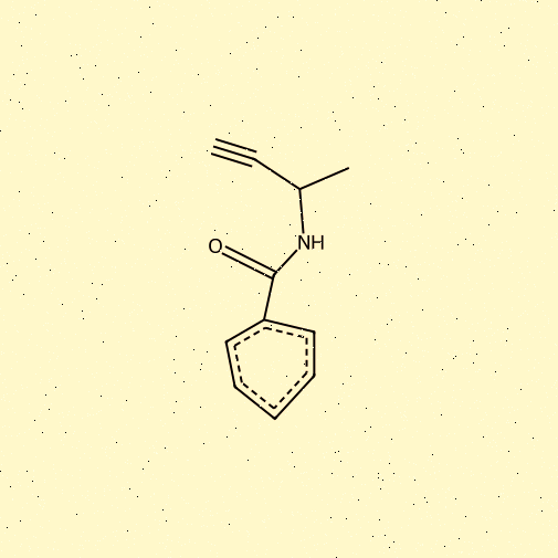 C#CC(C)NC(=O)c1ccccc1